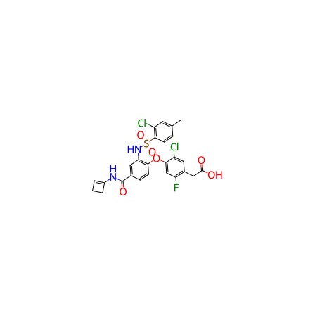 Cc1ccc(S(=O)(=O)Nc2cc(C(=O)NC3=CCC3)ccc2Oc2cc(F)c(CC(=O)O)cc2Cl)c(Cl)c1